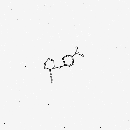 O=C=C1N=CC=CN1Oc1ccc([N+](=O)[O-])cc1